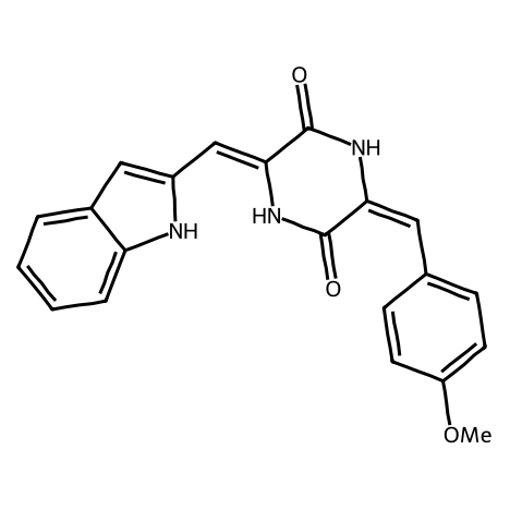 COc1ccc(C=c2[nH]c(=O)c(=Cc3cc4ccccc4[nH]3)[nH]c2=O)cc1